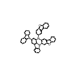 c1ccc2c(c1)B1c3cc4oc5ccccc5c4cc3N(c3ccc4oc5ccccc5c4c3)c3cc(-n4c5ccccc5c5ccccc54)cc-2c31